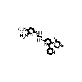 CN1CCN(c2ccc(NCCNc3ccc([N+](=O)[O-])c(N)n3)nc2-c2cccnc2)C(=O)C1